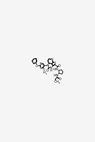 C=CC(=O)N[C@@H]1CCC[C@H]1NC(=O)c1sc2nccc3c2c1NC(=O)N3c1cnc(Oc2ccccc2)nc1C